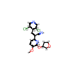 COc1ccc(/C(C#N)=C/c2c(Cl)cncc2Cl)nc1OC1CCOC1